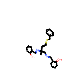 CC(CCSCc1ccccc1)(CN=Cc1ccccc1O)N=Cc1ccccc1O